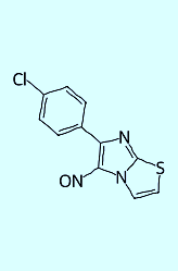 O=Nc1c(-c2ccc(Cl)cc2)nc2sccn12